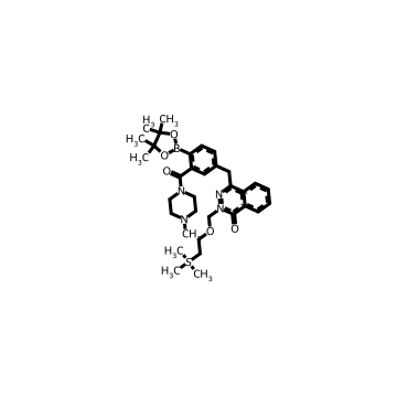 CN1CCN(C(=O)c2cc(Cc3nn(COCCS(C)(C)C)c(=O)c4ccccc34)ccc2B2OC(C)(C)C(C)(C)O2)CC1